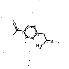 CC(C)Cc1ccc(C(=O)I)cc1